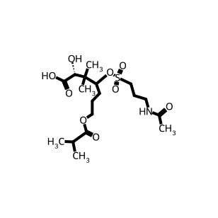 CC(=O)NCCCS(=O)(=O)OC(CCCOC(=O)C(C)C)C(C)(C)[C@@H](O)C(=O)O